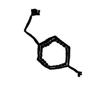 CCC(C)Cc1ccc(F)cc1